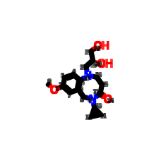 COc1ccc2c(c1)CN(C1CC1)C(=O)CCN2C[C@@H](O)CO